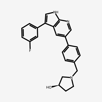 O[C@@H]1CCN(Cc2ccc(-c3cnc4[nH]cc(-c5cccc(F)c5)c4c3)cc2)C1